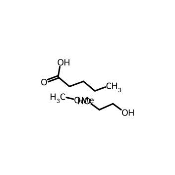 CCCCC(=O)O.COC.OCCO